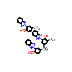 CC(C)(C)c1cc(-n2nc3ccccc3n2)c(O)c(C(C)(C)C)c1.CC(C)(C)c1ccc(O)c(-n2nc3ccccc3n2)c1.Cc1ccc(O)c(-n2nc3ccccc3n2)c1